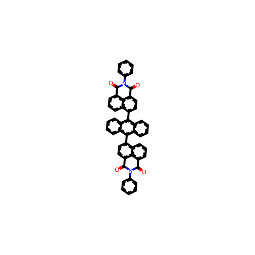 O=C1c2cccc3c(-c4c5ccccc5c(-c5ccc6c7c(cccc57)C(=O)N(c5ccccc5)C6=O)c5ccccc45)ccc(c23)C(=O)N1c1ccccc1